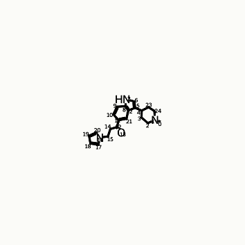 CN1CCC(c2c[nH]c3ccc(C(=O)CCn4cccc4)cc23)CC1